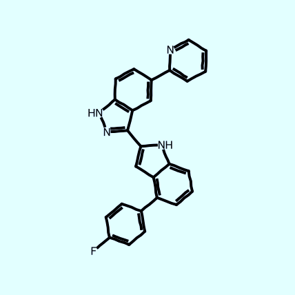 Fc1ccc(-c2cccc3[nH]c(-c4n[nH]c5ccc(-c6ccccn6)cc45)cc23)cc1